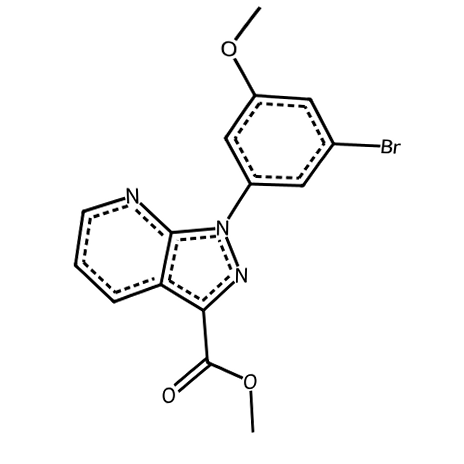 COC(=O)c1nn(-c2cc(Br)cc(OC)c2)c2ncccc12